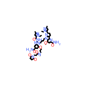 CCn1nc(C)cc1C(=O)Nc1nc2cc(C(N)=O)cc(OCCCN(C)C(=O)CCN3C(=O)C=CC3=O)c2n1C/C=C/Cn1c2nc(-c3cc(C)nn3CC)ccc2c2nc(C(N)=O)cc(OC)c21